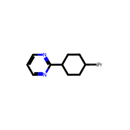 CC(C)C1CCC(c2ncccn2)CC1